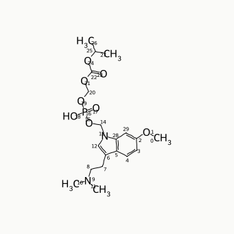 COc1ccc2c(CCN(C)C)cn(COP(=O)(O)OCOC(=O)OC(C)C)c2c1